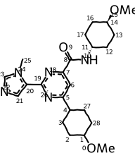 COC1CCC(c2cc(C(=O)N[C@H]3CC[C@H](OC)CC3)nc(-c3cncn3C)n2)CC1